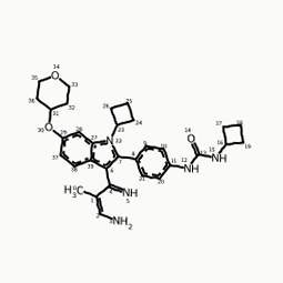 C/C(=C/N)C(=N)c1c(-c2ccc(NC(=O)NC3CCC3)cc2)n(C2CCC2)c2cc(OC3CCOCC3)ccc12